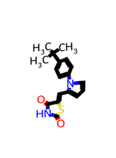 CC(C)(C)c1ccc(-n2cccc2C=C2SC(=O)NC2=O)cc1